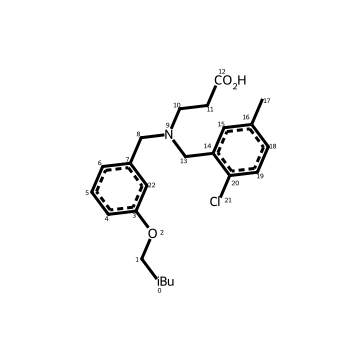 CCC(C)COc1cccc(CN(CCC(=O)O)Cc2cc(C)ccc2Cl)c1